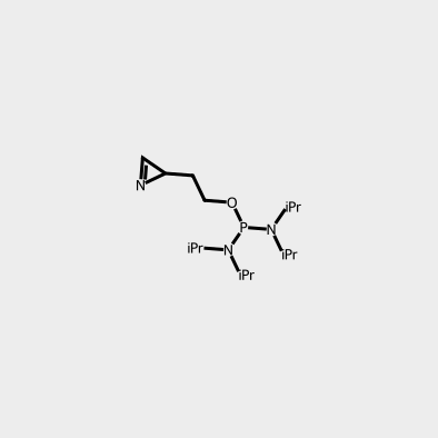 CC(C)N(C(C)C)P(OCCC1C=N1)N(C(C)C)C(C)C